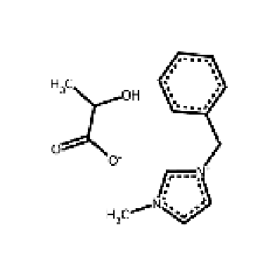 CC(O)C(=O)[O-].Cn1cc[n+](Cc2ccccc2)c1